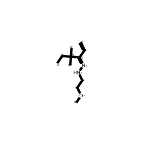 C=C/C(=N/NCCOC)C(C)(C)CC